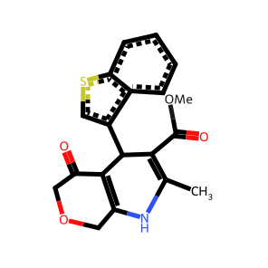 COC(=O)C1=C(C)NC2=C(C(=O)COC2)C1c1csc2ccccc12